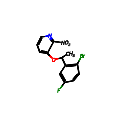 CC(Oc1cccnc1[N+](=O)[O-])c1cc(F)ccc1Br